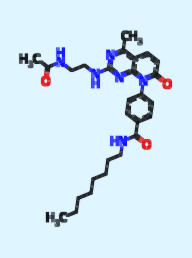 CCCCCCCCNC(=O)c1ccc(-n2c(=O)ccc3c(C)nc(NCCNC(C)=O)nc32)cc1